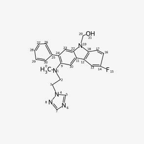 CN(CCn1cncn1)c1cc2c3cc(F)ccc3n(CO)c2cc1-c1ccccc1